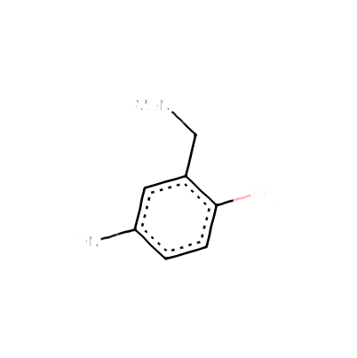 Bc1ccc(N=O)cc1CNC